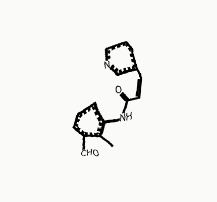 Cc1c(C=O)cccc1NC(=O)/C=C\c1cccnc1